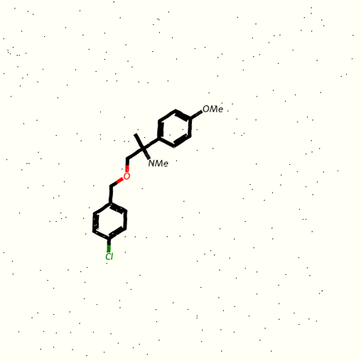 CNC(C)(COCc1ccc(Cl)cc1)c1ccc(OC)cc1